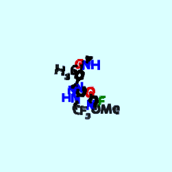 COc1ncc(Oc2cc(NCCC(F)(F)F)c3ncc(-c4ccc(C(=O)NC5CC5)c(C)c4)n3c2)cc1F